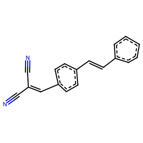 N#CC(C#N)=Cc1ccc(C=Cc2ccccc2)cc1